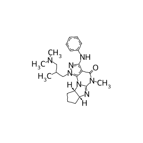 CC(CN(C)C)Cn1nc(Nc2ccccc2)c2c1N1C(=N[C@@H]3CCC[C@@H]31)N(C)C2=O